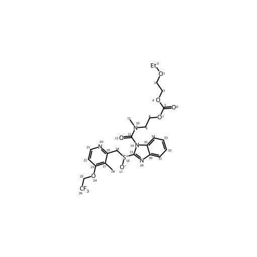 CCOCCOC(=O)OCCN(C)C(=O)n1c([S+]([O-])Cc2nccc(OCC(F)(F)F)c2C)nc2ccccc21